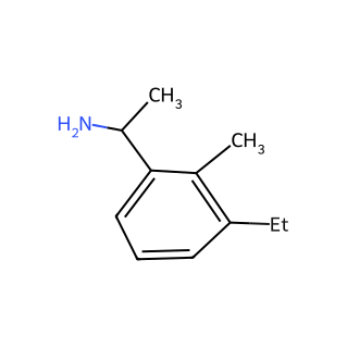 CCc1cccc(C(C)N)c1C